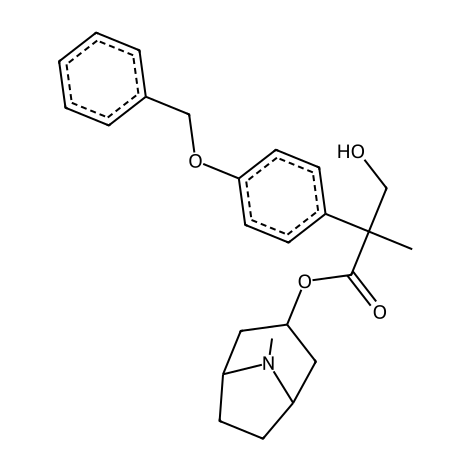 CN1C2CCC1CC(OC(=O)C(C)(CO)c1ccc(OCc3ccccc3)cc1)C2